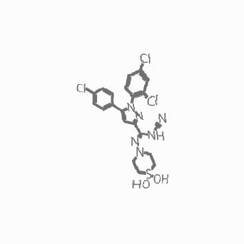 N#CNC(=NN1CCS(O)(O)CC1)c1cc(-c2ccc(Cl)cc2)n(-c2ccc(Cl)cc2Cl)n1